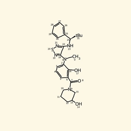 CN(c1cccc(C(=O)N2CCCC(O)C2)c1O)c1nsnc1N[C@@H](c1ccccc1)C(C)(C)C